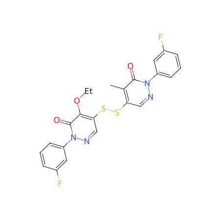 CCOc1c(SSc2cnn(-c3cccc(F)c3)c(=O)c2C)cnn(-c2cccc(F)c2)c1=O